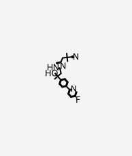 CC(C)(C#N)Cc1c[nH]c(CC(C)(O)c2ccc(-c3ccc(F)cn3)cc2)n1